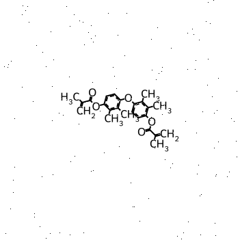 C=C(C)C(=O)Oc1ccc(Oc2ccc(OC(=O)C(=C)C)c(C)c2C)c(C)c1C